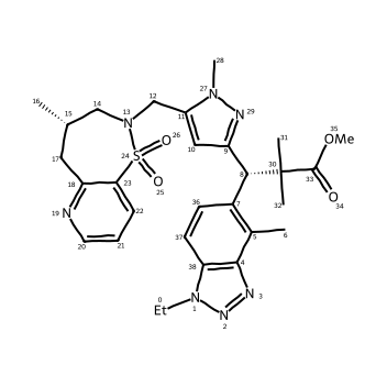 CCn1nnc2c(C)c([C@H](c3cc(CN4C[C@@H](C)Cc5ncccc5S4(=O)=O)n(C)n3)C(C)(C)C(=O)OC)ccc21